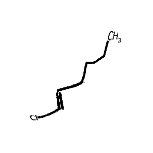 CCC[CH]C=CCl